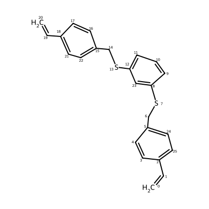 C=Cc1ccc(CSc2cccc(SCc3ccc(C=C)cc3)c2)cc1